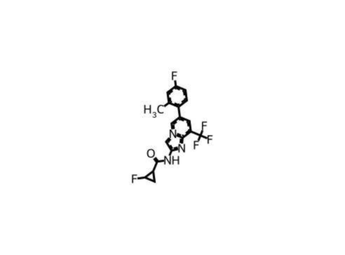 Cc1cc(F)ccc1-c1cc(C(F)(F)F)c2nc(NC(=O)C3CC3F)cn2c1